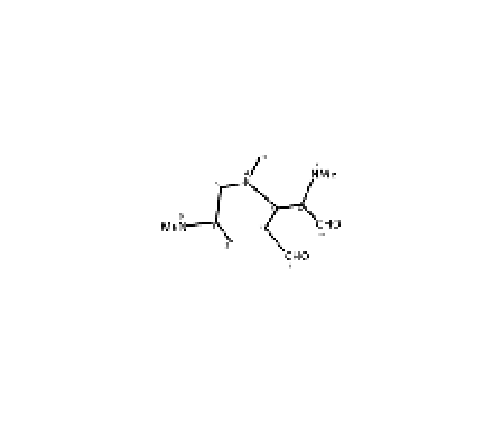 CNC(C)CN(C)C(CC=O)C(C=O)NC